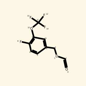 O=COCc1ccc(F)c(OC(F)(F)F)c1